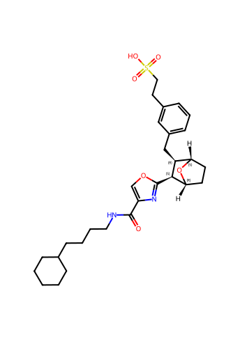 O=C(NCCCCC1CCCCC1)c1coc([C@H]2[C@@H](Cc3cccc(CCS(=O)(=O)O)c3)[C@@H]3CC[C@H]2O3)n1